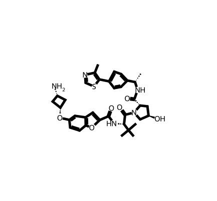 Cc1ncsc1-c1ccc([C@H](C)NC(=O)[C@@H]2C[C@@H](O)CN2C(=O)[C@@H](NC(=O)c2cc3cc(O[C@H]4C[C@@H](N)C4)ccc3o2)C(C)(C)C)cc1